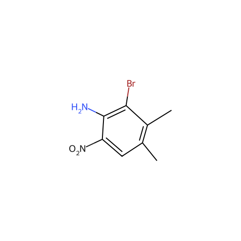 Cc1cc([N+](=O)[O-])c(N)c(Br)c1C